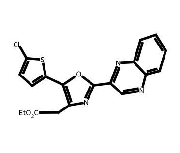 CCOC(=O)Cc1nc(-c2cnc3ccccc3n2)oc1-c1ccc(Cl)s1